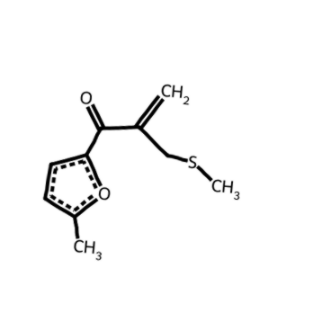 C=C(CSC)C(=O)c1ccc(C)o1